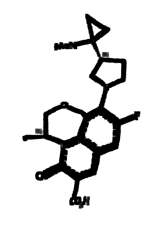 CNC1([C@@H]2CCN(c3c(F)cc4cc(C(=O)O)c(=O)n5c4c3OC[C@@H]5C)C2)CC1